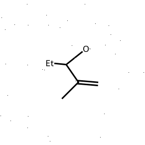 C=C(C)C([O])CC